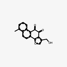 Cc1cccc2c3c(ccc12)-c1occ(CO)c1C(=O)C3=O